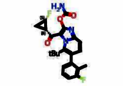 Cc1c(F)cccc1-c1ccc2nc(OC(N)=O)c(C(=O)[C@@H]3C[C@@H]3F)n2c1C(C)(C)C